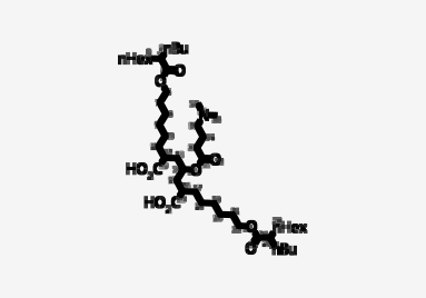 CCCCCCC(CCCC)C(=O)OCCCCCCC(CC(CC(CCCCCCOC(=O)C(CCCC)CCCCCC)C(=O)O)OC(=O)CCCN(C)C)C(=O)O